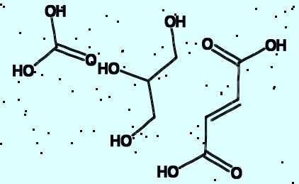 O=C(O)/C=C/C(=O)O.O=C(O)O.OCC(O)CO